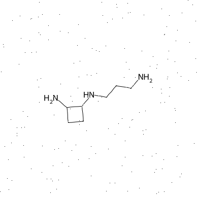 NCCCNC1CCC1N